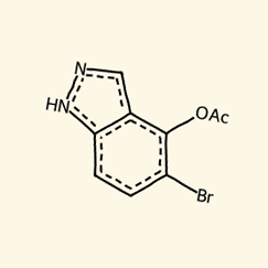 CC(=O)Oc1c(Br)ccc2[nH]ncc12